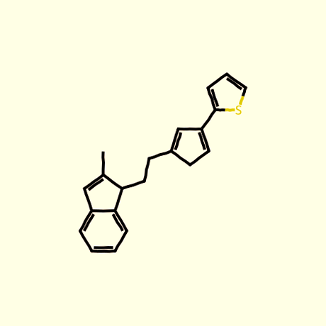 CC1=Cc2ccccc2C1CCC1=CC(c2cccs2)=CC1